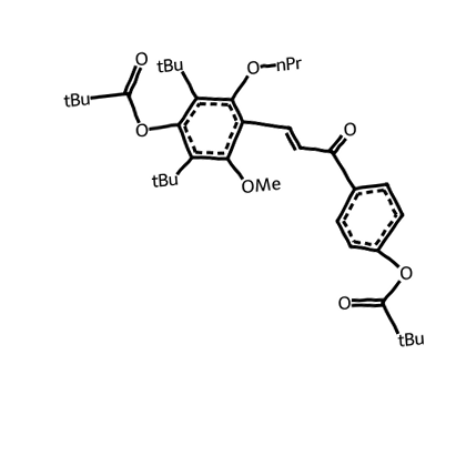 CCCOc1c(C=CC(=O)c2ccc(OC(=O)C(C)(C)C)cc2)c(OC)c(C(C)(C)C)c(OC(=O)C(C)(C)C)c1C(C)(C)C